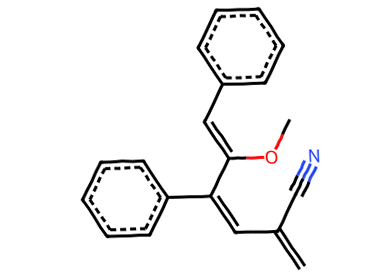 C=C(C#N)/C=C(\C(=C\c1ccccc1)OC)c1ccccc1